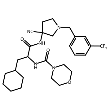 N#CC1(NC(=O)C(CC2CCCCC2)NC(=O)N2CCOCC2)CCN(Cc2cccc(C(F)(F)F)c2)C1